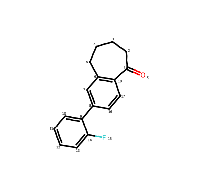 O=C1CCCCc2cc(-c3ccccc3F)ccc21